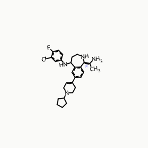 C/C(N)=C1/NCCC(Nc2ccc(F)c(Cl)c2)c2cc(C3=CCN(C4CCCC4)CC3)ccc21